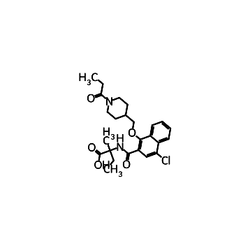 CCC(=O)N1CCC(COc2c(C(=O)NC(C)(CC)C(=O)O)cc(Cl)c3ccccc23)CC1